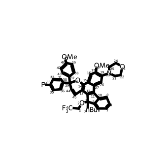 CCCCC1(OCC(F)(F)F)c2ccccc2-c2c1c1c(c3cc(OC)c(N4CCOCC4)cc23)OC(c2ccc(F)cc2)(c2ccc(OC)cc2)C=C1